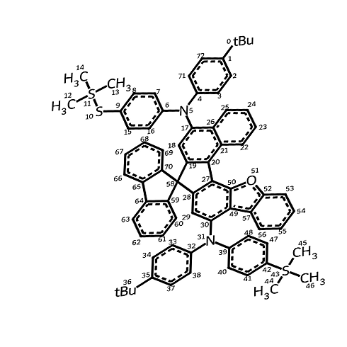 CC(C)(C)c1ccc(N(c2ccc(SS(C)(C)C)cc2)c2cc3c(c4ccccc24)-c2c(cc(N(c4ccc(C(C)(C)C)cc4)c4ccc(S(C)(C)C)cc4)c4c2oc2ccccc24)C32c3ccccc3-c3ccccc32)cc1